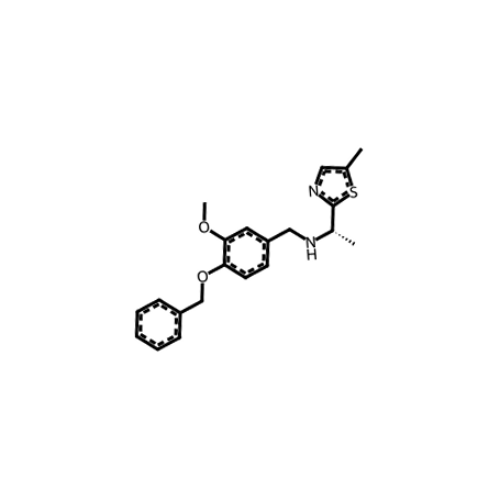 COc1cc(CN[C@@H](C)c2ncc(C)s2)ccc1OCc1ccccc1